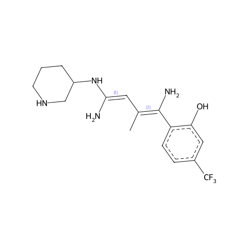 CC(/C=C(\N)NC1CCCNC1)=C(/N)c1ccc(C(F)(F)F)cc1O